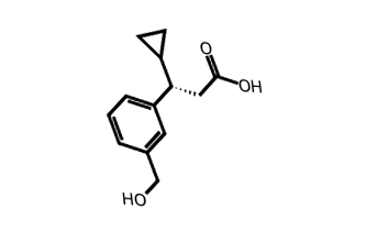 O=C(O)C[C@H](c1cccc(CO)c1)C1CC1